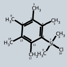 Cc1c(C)c(C)c([Si](C)(C)Cl)c(C)c1C